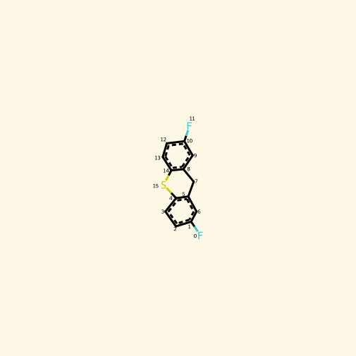 Fc1ccc2c(c1)Cc1cc(F)ccc1S2